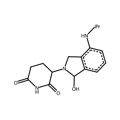 CC(C)Nc1cccc2c1CN(C1CCC(=O)NC1=O)C2O